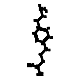 CCN(CC)CCOc1ccc(CCN)cc1